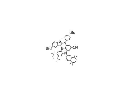 CC1C=C(C(C)(C)C)C=CC1N1c2cc(C#N)cc3c2B(c2cc4c(cc2N3C2=CC3C(C=C2)C(C)(C)CCC3(C)C)C(C)(C)CCC4(C)C)c2c1sc1ccc(C(C)(C)C)cc21